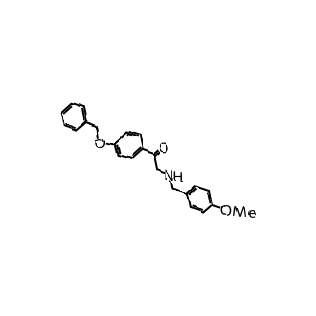 COc1ccc(CNCC(=O)c2ccc(OCc3ccccc3)cc2)cc1